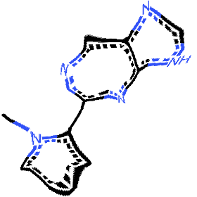 Cn1cccc1-c1ncc2nc[nH]c2n1